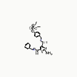 CCOP(=O)(OCC)Oc1ccc(/C=N/Nc2cc(N/N=C/c3cc[c]cc3)nc(N)n2)cc1